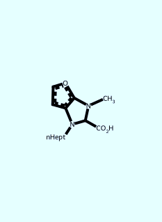 CCCCCCCN1c2ccoc2N(C)C1C(=O)O